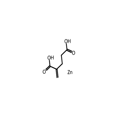 C=C(CCC(=O)O)C(=O)O.[Zn]